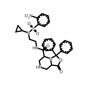 O=C(NCCN(C1CC1)S(=O)(=O)c1ccccc1[N+](=O)[O-])C1CNCC2C(=O)OC(c3ccccc3)(c3ccccc3)N12